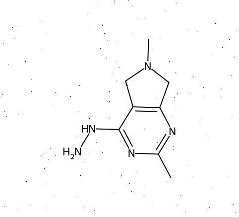 Cc1nc2c(c(NN)n1)CN(C)C2